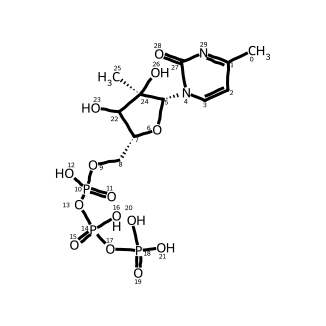 Cc1ccn([C@@H]2O[C@H](COP(=O)(O)OP(=O)(O)OP(=O)(O)O)C(O)[C@@]2(C)O)c(=O)n1